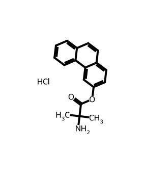 CC(C)(N)C(=O)Oc1ccc2ccc3ccccc3c2c1.Cl